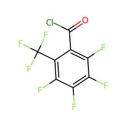 O=C(Cl)c1c(F)c(F)c(F)c(F)c1C(F)(F)F